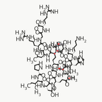 CC[C@H](C)[C@H](NC(=O)[C@@H]1CCCN1)C(=O)N[C@@H](CC(=O)O)C(=O)N[C@@H](CCC(=O)O)C(=O)N[C@@H](CC(=O)O)C(=O)N[C@@H](CCCNC(=N)N)C(=O)N[C@@H](CC(C)C)C(=O)N[C@@H](Cc1c[nH]cn1)C(=O)N[C@@H](CCCCN)C(=O)N[C@H](C(=O)NCC(=O)N[C@@H](CC(C)C)C(=O)N[C@@H](CCCNC(=N)N)C(=O)NCC(=O)N[C@@H](CCCNC(=N)N)C(=O)O)[C@@H](C)O